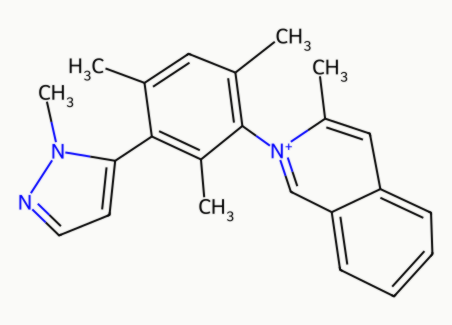 Cc1cc(C)c(-[n+]2cc3ccccc3cc2C)c(C)c1-c1ccnn1C